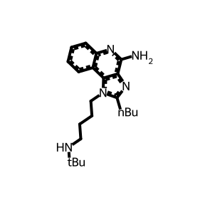 CCCCc1nc2c(N)nc3ccccc3c2n1CCCCNC(C)(C)C